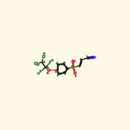 N#C/C=C/S(=O)(=O)c1ccc(OC(F)(F)C(Cl)Cl)cc1